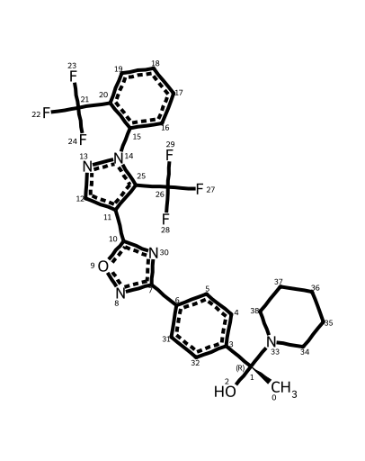 C[C@@](O)(c1ccc(-c2noc(-c3cnn(-c4ccccc4C(F)(F)F)c3C(F)(F)F)n2)cc1)N1CCCCC1